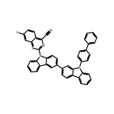 N#Cc1nc(-n2c3ccccc3c3cc(-c4ccc5c6ccccc6n(-c6ccc(-c7ccccc7)cc6)c5c4)ccc32)nc2cc(F)ccc12